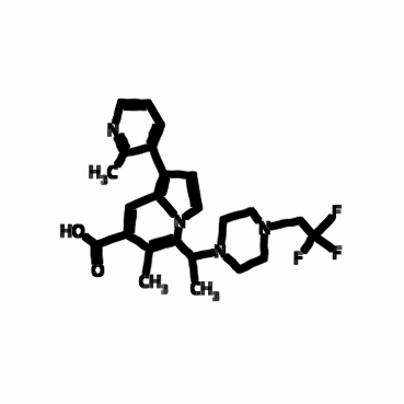 Cc1ncccc1-c1ccn2c(C(C)N3CCN(CC(F)(F)F)CC3)c(C)c(C(=O)O)cc12